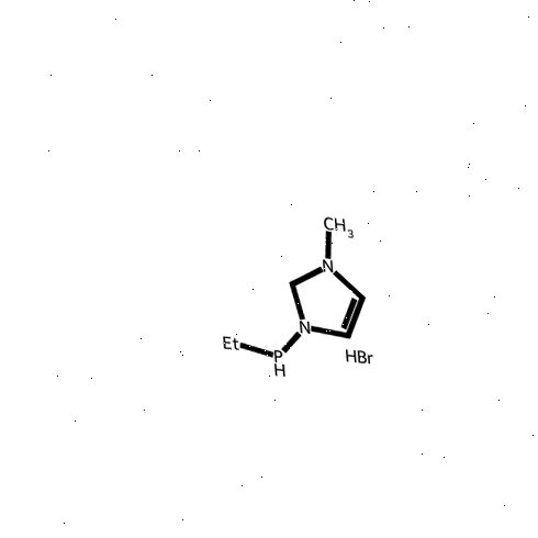 Br.CCPN1C=CN(C)C1